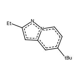 CCc1cc2cc(C(C)(C)C)ccn2n1